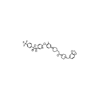 Cc1cc(N2CCC(CC(=O)N3CCN(Cc4ccc5c(c4)OCO5)CC3)CC2)ccc1Oc1ccc(NS(=O)(=O)c2ccc(C(F)(F)F)cc2)cn1